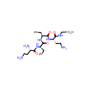 CC(C)C[C@H](NC(=O)[C@@H](CC(C)C)NC(=O)[C@@H](N)CCN)C(=O)N[C@@H](CCN)C(=O)NCC(=O)O